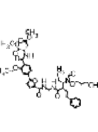 CCCCON(C=O)[C@H](CC)[C@@H](CCc1ccccc1)C(=O)NCNC(=O)c1ccc(-c2ccc(C(=O)N[C@@H](CC(=O)OC)C(=O)OC)c(OCC)c2)o1